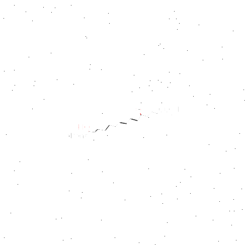 CCCCCC(O)C=CC=CCC=CC=CC(=O)CCCC(=O)O